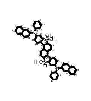 C[Si]1(C)c2cc(N(c3ccccc3)c3ccc4ccccc4c3)ccc2-c2c1ccc1c3c(ccc21)[Si](C)(C)c1cc(N(c2ccccc2)c2ccc4ccccc4c2)ccc1-3